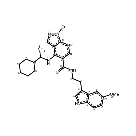 CCn1ncc2c(NC(C)C3CCCCC3)c(C(=O)NCCc3c[nH]c4ccc(OC)cc34)cnc21